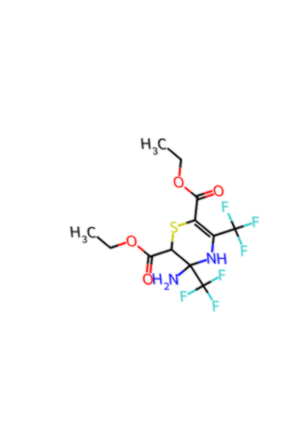 CCOC(=O)C1=C(C(F)(F)F)NC(N)(C(F)(F)F)C(C(=O)OCC)S1